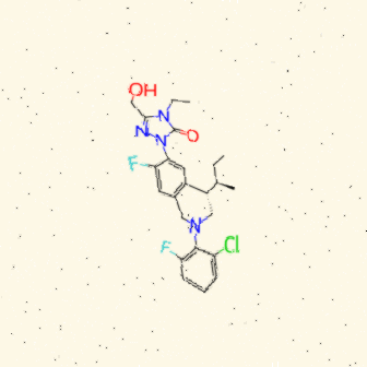 CC[C@@H](C)[C@@H]1CN(c2c(F)cccc2Cl)Cc2cc(F)c(-n3nc(CO)n(CC)c3=O)cc21